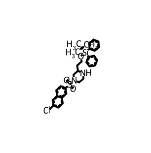 CC(C)(C)[Si](OCCC1CN(S(=O)(=O)c2ccc3cc(Cl)ccc3c2)CCN1)(c1ccccc1)c1ccccc1